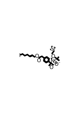 CC(C)(C)[S+]([O-])N(COCC[Si](C)(C)C)C1(c2ccc(CC(=O)OC/C=C/CCCI)cc2)COC1